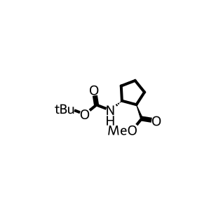 COC(=O)[C@@H]1CCC[C@H]1NC(=O)OC(C)(C)C